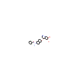 COc1cc2nccc(Oc3ccc4cc(NC(=O)c5c(Cl)cccc5Cl)ccc4c3)c2cc1OC